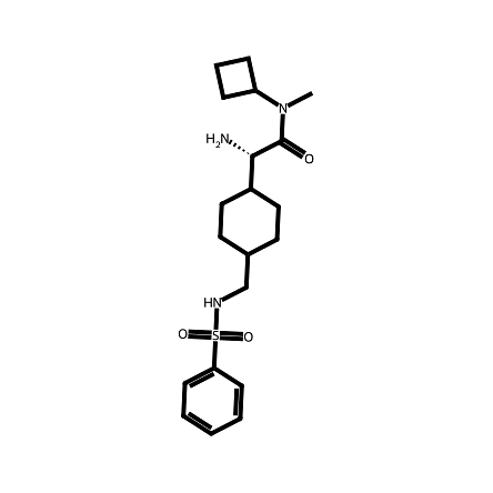 CN(C(=O)[C@@H](N)C1CCC(CNS(=O)(=O)c2ccccc2)CC1)C1CCC1